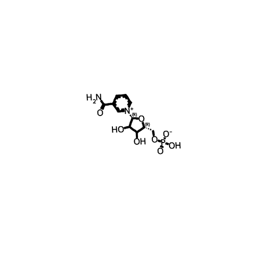 NC(=O)c1ccc[n+]([C@@H]2O[C@H](COP(=O)([O-])O)C(O)C2O)c1